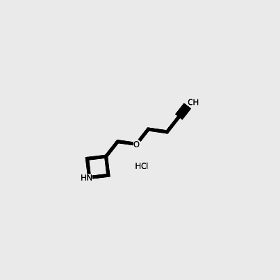 C#CCCOCC1CNC1.Cl